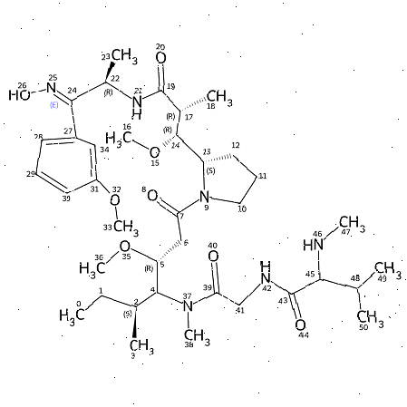 CC[C@H](C)C([C@@H](CC(=O)N1CCC[C@H]1[C@H](OC)[C@@H](C)C(=O)N[C@H](C)/C(=N/O)c1cccc(OC)c1)OC)N(C)C(=O)CNC(=O)C(NC)C(C)C